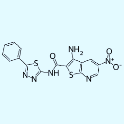 Nc1c(C(=O)Nc2nnc(-c3ccccc3)s2)sc2ncc([N+](=O)[O-])cc12